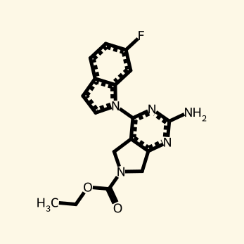 CCOC(=O)N1Cc2nc(N)nc(-n3ccc4ccc(F)cc43)c2C1